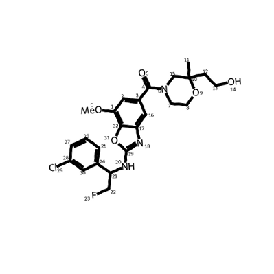 COc1cc(C(=O)N2CCOC(C)(CCO)C2)cc2nc(NC(CF)c3cccc(Cl)c3)oc12